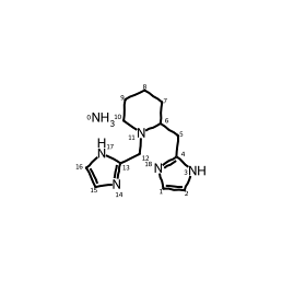 N.c1c[nH]c(CC2CCCCN2Cc2ncc[nH]2)n1